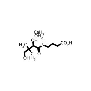 CC(C)(CO)C(O)C(=O)NCCCC(=O)O.O.[CaH2]